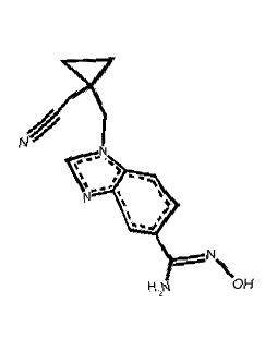 N#CC1(Cn2cnc3cc(C(N)=NO)ccc32)CC1